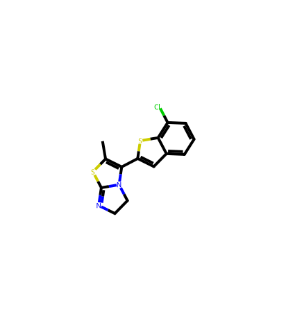 CC1=C(c2cc3cccc(Cl)c3s2)N2CCN=C2S1